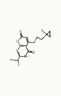 O=c1cc(CCCC2(F)CC2)c2c(=O)[nH]c(C(F)F)nc2o1